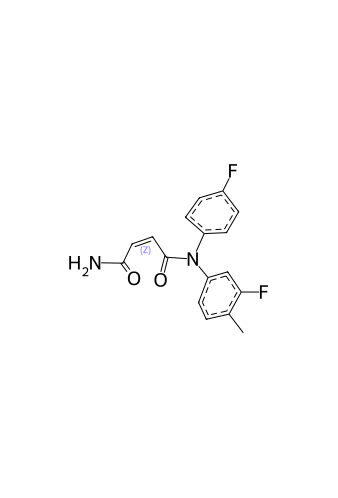 Cc1ccc(N(C(=O)/C=C\C(N)=O)c2ccc(F)cc2)cc1F